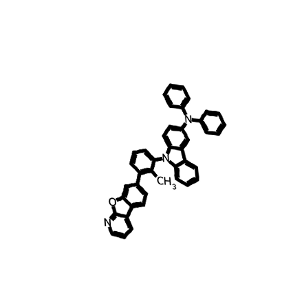 Cc1c(-c2ccc3c(c2)oc2ncccc23)cccc1-n1c2ccccc2c2cc(N(c3ccccc3)c3ccccc3)ccc21